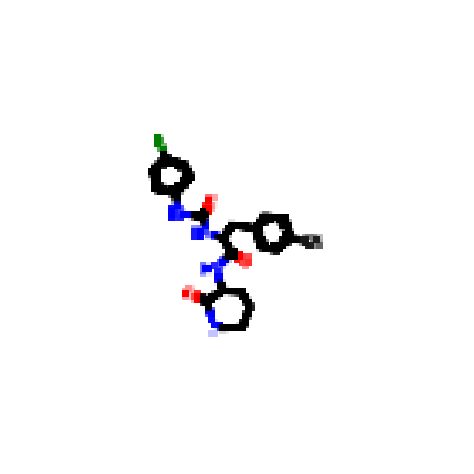 N#Cc1ccc(CC(NC(=O)Nc2ccc(F)cc2)C(=O)NC2CCCCNC2=O)cc1